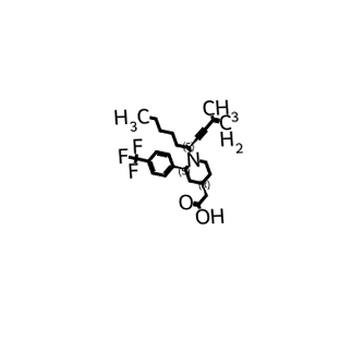 C=C(C)C#C[C@H](CCCCC)N1CC[C@@H](CC(=O)O)C[C@H]1c1ccc(C(F)(F)F)cc1